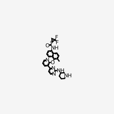 Cc1ccc2c(NC(=O)[C@H]3CC3(F)F)cccc2c1Oc1ncccc1-c1ccnc(NC2CCCNC2)n1